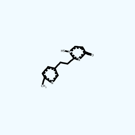 Cc1ccc(CCc2nc(=O)ccn2S)cn1